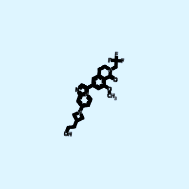 COc1cc(-c2cnc3cc(N4CC(CCO)C4)ccn23)cc2c1C(=O)N(CC(F)(F)F)CC2